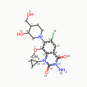 COc1c(N2CCC(CO)C(O)C2)c(F)cc2c(=O)n(N)c(=O)n(C3CC3)c12